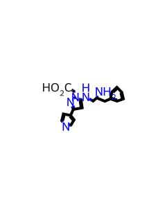 NC(CNc1cc(-c2ccncc2)nn1CC(=O)O)Cc1ccccc1